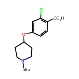 CCCCN1CCC(Oc2ccc(C(=O)O)c(Cl)c2)CC1